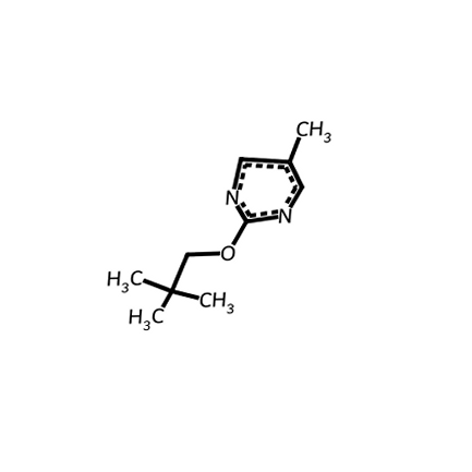 Cc1cnc(OCC(C)(C)C)nc1